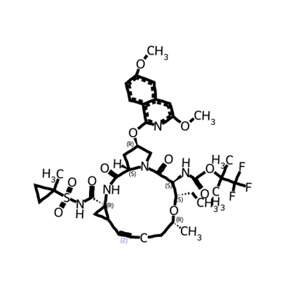 CC[C@@H]1O[C@H](C)CC/C=C\C2C[C@@]2(C(=O)NS(=O)(=O)C2(C)CC2)NC(=O)[C@@H]2C[C@@H](Oc3nc(OC)cc4cc(OC)ccc34)CN2C(=O)[C@H]1NC(=O)OC(C)(C)C(F)(F)F